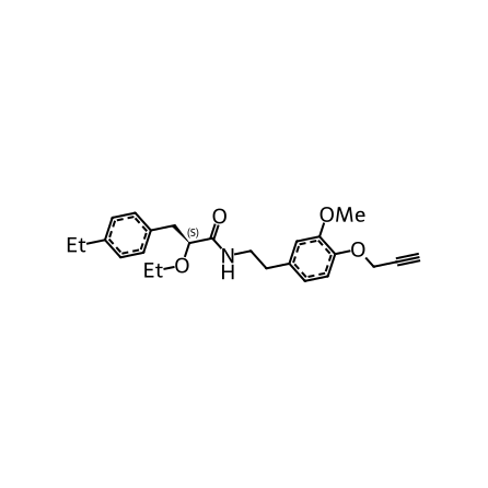 C#CCOc1ccc(CCNC(=O)[C@H](Cc2ccc(CC)cc2)OCC)cc1OC